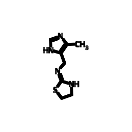 Cc1nc[nH]c1CN=C1NCCS1